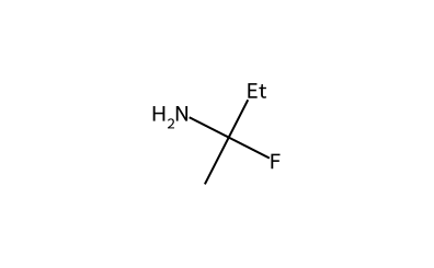 CCC(C)(N)F